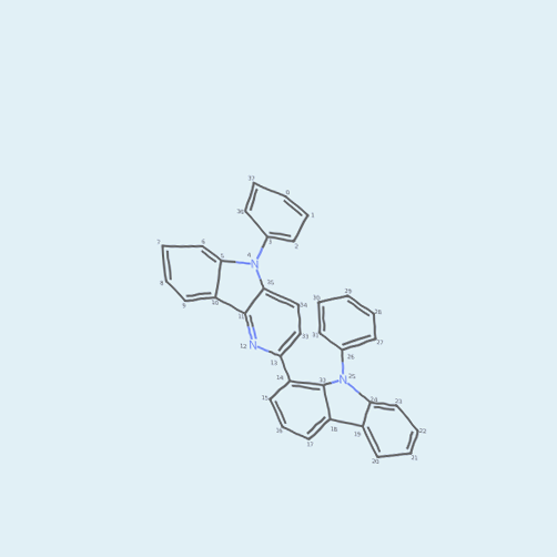 c1ccc(-n2c3ccccc3c3nc(-c4cccc5c6ccccc6n(-c6ccccc6)c45)ccc32)cc1